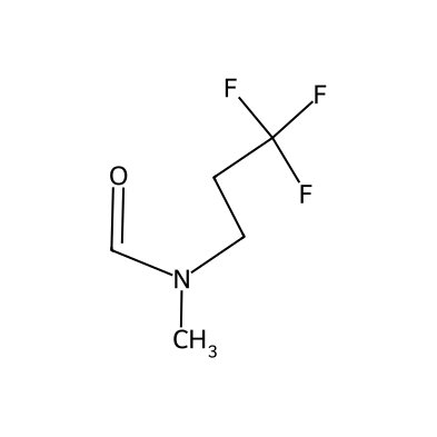 CN(C=O)CCC(F)(F)F